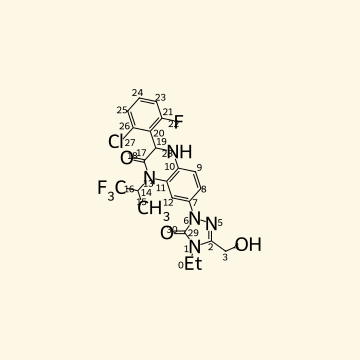 CCn1c(CO)nn(-c2ccc3c(c2)N(C(C)C(F)(F)F)C(=O)C(c2c(F)cccc2Cl)N3)c1=O